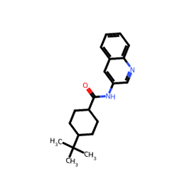 CC(C)(C)C1CCC(C(=O)Nc2cnc3ccccc3c2)CC1